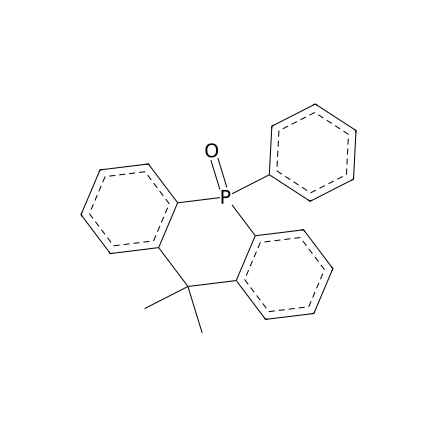 CC1(C)c2ccccc2P(=O)(c2ccccc2)c2ccccc21